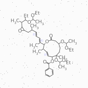 CCOC(C)OC1CCC(C)(OC(C)OCC)C(OC(=O)c2ccccc2)/C=C/C(C)C(/C(C)=C/C=C/C(C)CC2OC2C(C)C(CC)OC(C)OCC)OC(=O)C1